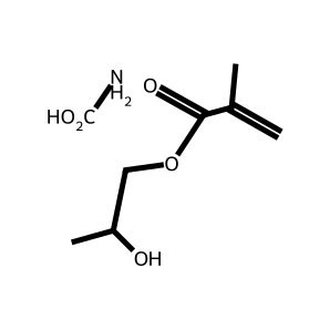 C=C(C)C(=O)OCC(C)O.NC(=O)O